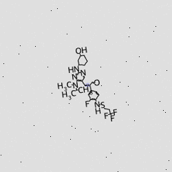 CC(C)N(C)c1nc(NC2CCCC(O)C2)ncc1/C=C(\C=O)c1ccc(NSCCC(F)(F)F)c(F)c1